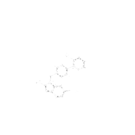 CCCc1nc2ccc(C(=O)O)cc2n1Cc1ccc(-c2ccccc2C#N)cc1